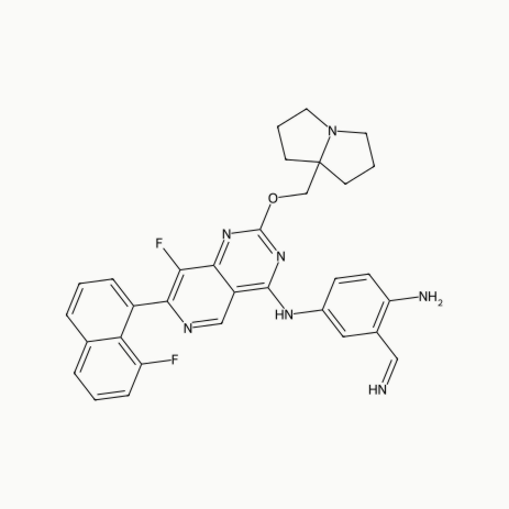 N=Cc1cc(Nc2nc(OCC34CCCN3CCC4)nc3c(F)c(-c4cccc5cccc(F)c45)ncc23)ccc1N